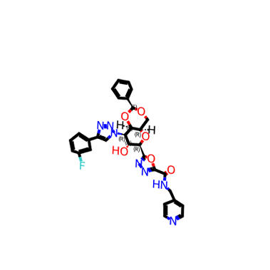 O=C(NCc1ccncc1)c1nnc([C@@H]2O[C@@H]3CO[C@H](c4ccccc4)O[C@@H]3[C@H](n3cc(-c4cccc(F)c4)nn3)[C@H]2O)o1